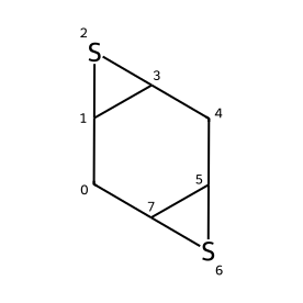 C1C2SC2CC2SC12